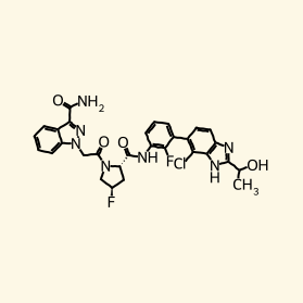 CC(O)c1nc2ccc(-c3cccc(NC(=O)[C@@H]4C[C@@H](F)CN4C(=O)Cn4nc(C(N)=O)c5ccccc54)c3F)c(Cl)c2[nH]1